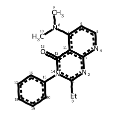 CCc1nc2nccc(N(C)C)c2c(=O)n1-c1ccccc1